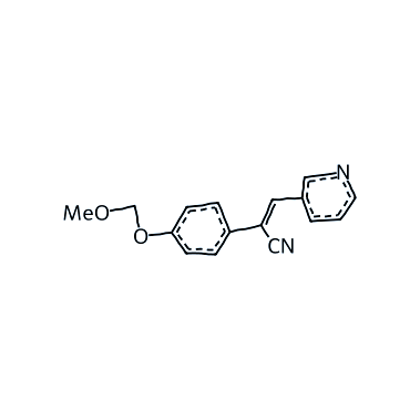 COCOc1ccc(C(C#N)=Cc2cccnc2)cc1